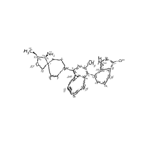 Cc1nc(N2CCC3(CC2)CO[C@@H](C)[C@H]3N)n2ccnc2c1-c1cccc2c(Cl)c[nH]c12